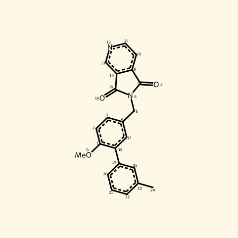 COc1ccc(CN2C(=O)c3ccncc3C2=O)cc1-c1cccc(C)c1